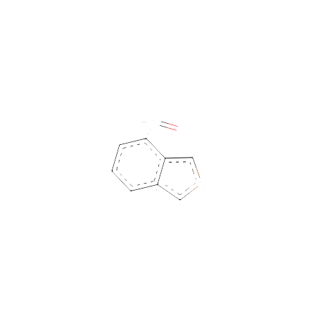 C=O.c1ccc2cscc2c1